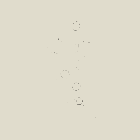 COC[C@H](NC(=O)[C@H](C)NCc1c(F)cc(Cl)cc1Oc1ccc(-c2cnc(CN(C(=O)OC(C)(C)C)C3CCC3)n2C)cc1)C(=O)N[C@@]1(CCc2ccc(Cl)cc2)CCCN(C(=O)[C@@H](CC(=O)OC)CC(F)(F)F)C1